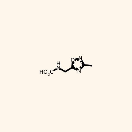 Cc1noc(CNC(=O)O)n1